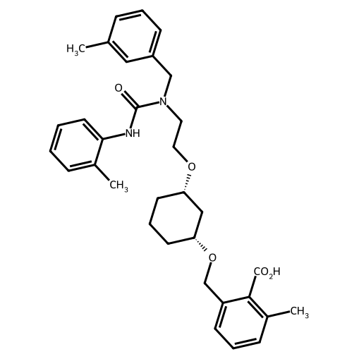 Cc1cccc(CN(CCO[C@H]2CCC[C@@H](OCc3cccc(C)c3C(=O)O)C2)C(=O)Nc2ccccc2C)c1